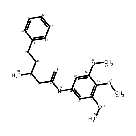 COc1cc(NC(=O)CC(C)CCc2ccccc2)cc(OC)c1OC